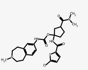 CN1CCc2ccc(NC(=O)OC3(NC(=O)c4ccc(Cl)s4)CCC(C(=O)N(C)C)C3)cc2CC1